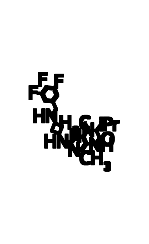 Cc1nc(N[C@H]2C[C@@H](NCc3cc(F)c(F)c(F)c3)C2)nc2c1NC(=O)C(C(C)C)N2C